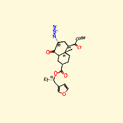 CC[C@H](OC(=O)C1CC[C@]2(C)C(C1)C(=O)[C@H](N=[N+]=[N-])C[C@H]2C(=O)OC)c1ccoc1